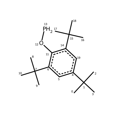 CC(C)(C)c1cc(C(C)(C)C)c(OP)c(C(C)(C)C)c1